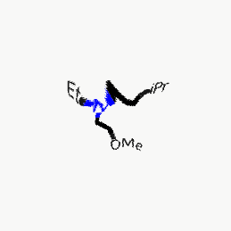 CCN(CCOC)CCC(C)C